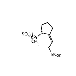 CCCCCCCCCCC=C1CCCN1CCC.CS(=O)(=O)O